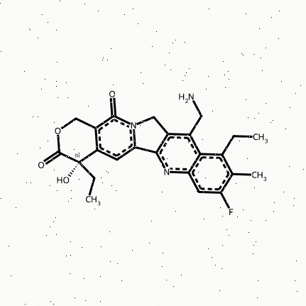 CCc1c(C)c(F)cc2nc3c(c(CN)c12)Cn1c-3cc2c(c1=O)COC(=O)[C@]2(O)CC